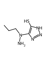 CCCN(N)c1nn[nH]c1S